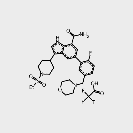 CCS(=O)(=O)N1CCC(c2c[nH]c3c(C(N)=O)cc(-c4cc(CN5CCOCC5)ccc4F)cc23)CC1.O=C(O)C(F)(F)F